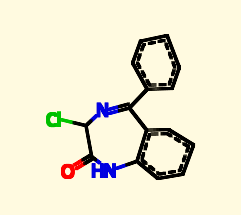 O=C1Nc2ccccc2C(c2ccccc2)=NC1Cl